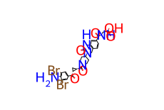 Nc1c(Br)cc(C(=O)[C@@H]2C[C@H]2C(=O)N2CCC(N3Cc4ccc(C(=O)NCC(=O)O)cc4NC3=O)CC2)cc1Br